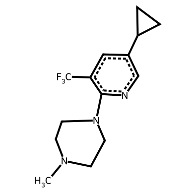 CN1CCN(c2ncc(C3CC3)cc2C(F)(F)F)CC1